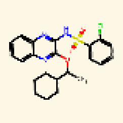 O=S(=O)(Nc1nc2ccccc2nc1OC(C1CCCCC1)C(F)(F)F)c1ccccc1Cl